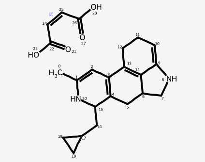 CC1=CC2=C(CC3CNC4=CCCC2=C43)C(CC2CC2)N1.O=C(O)/C=C\C(=O)O